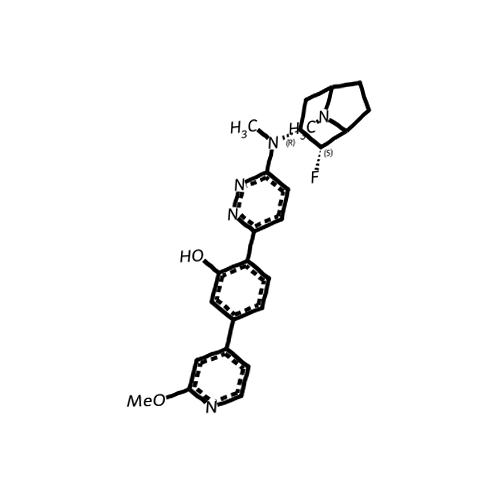 COc1cc(-c2ccc(-c3ccc(N(C)[C@@H]4CC5CCC([C@@H]4F)N5C)nn3)c(O)c2)ccn1